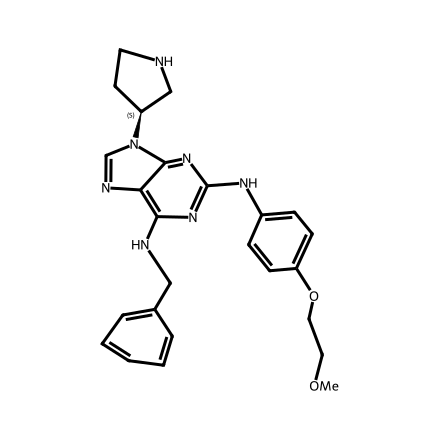 COCCOc1ccc(Nc2nc(NCc3ccccc3)c3ncn([C@H]4CCNC4)c3n2)cc1